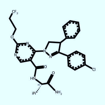 CC(C)[C@H](NC(=O)c1cnc(OCCC(F)(F)F)nc1N1CC(c2ccccc2)C(c2ccc(Cl)cc2)=N1)C(N)=O